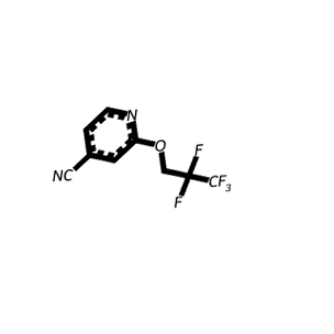 N#Cc1ccnc(OCC(F)(F)C(F)(F)F)c1